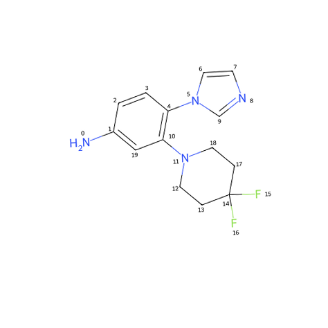 Nc1ccc(-n2ccnc2)c(N2CCC(F)(F)CC2)c1